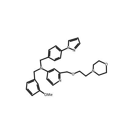 COc1cccc(CN(Cc2ccc(-n3cccn3)cc2)c2ccnc(COCCN3CCOCC3)c2)c1